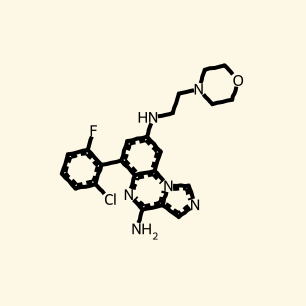 Nc1nc2c(-c3c(F)cccc3Cl)cc(NCCN3CCOCC3)cc2n2cncc12